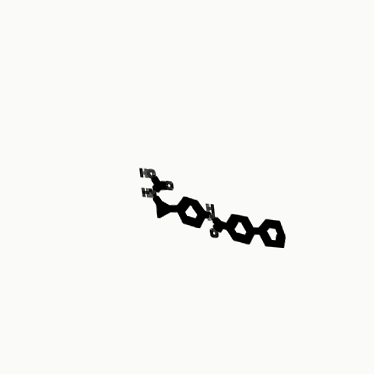 O=C(O)NC1CC1c1ccc(NC(=O)c2ccc(-c3ccccc3)cc2)cc1